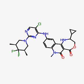 C[C@@H]1CN(c2ncc(Cl)c(Nc3ccc4c(c3)c3c(c(=O)n4C)C(=O)OCC(C4CC4)N3)n2)C[C@H](C)C1(F)F